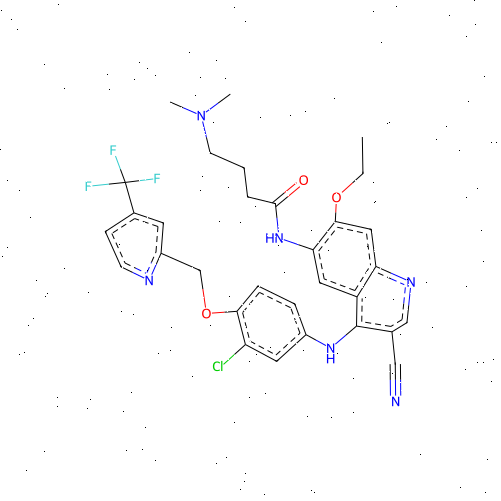 CCOc1cc2ncc(C#N)c(Nc3ccc(OCc4cc(C(F)(F)F)ccn4)c(Cl)c3)c2cc1NC(=O)CCCN(C)C